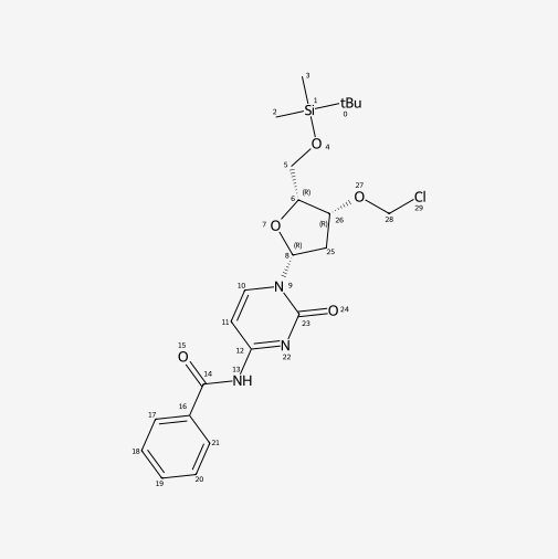 CC(C)(C)[Si](C)(C)OC[C@H]1O[C@@H](n2ccc(NC(=O)c3ccccc3)nc2=O)C[C@H]1OCCl